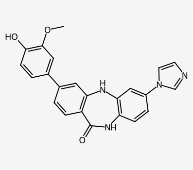 COc1cc(-c2ccc3c(c2)Nc2cc(-n4ccnc4)ccc2NC3=O)ccc1O